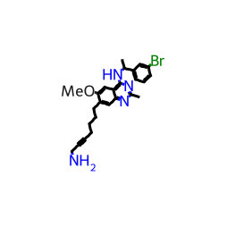 COc1cc2c(NC(C)c3cccc(Br)c3)nc(C)nc2cc1CCCCC#CCN